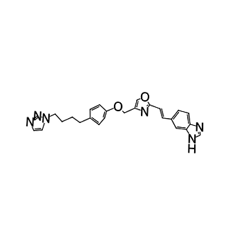 C(=Cc1nc(COc2ccc(CCCCn3ccnn3)cc2)co1)c1ccc2nc[nH]c2c1